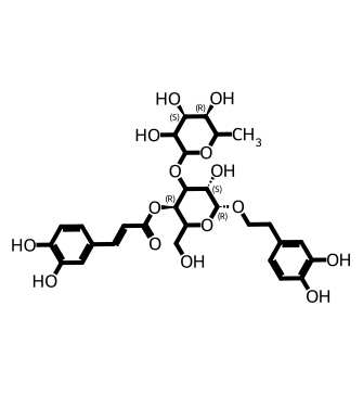 CC1OC(OC2[C@H](OC(=O)C=Cc3ccc(O)c(O)c3)C(CO)O[C@@H](OCCc3ccc(O)c(O)c3)[C@H]2O)C(O)[C@@H](O)[C@H]1O